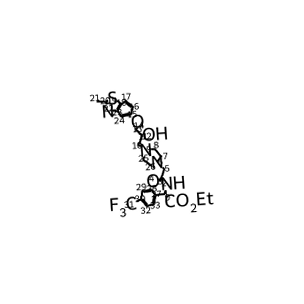 CCOC(=O)C(NC(=O)CN1CCN(CC(O)COc2ccc3sc(C)nc3c2)CC1)c1ccc(C(F)(F)F)cc1